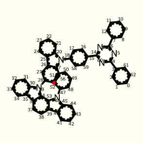 c1ccc(-c2nc(-c3ccccc3)nc(-c3ccc(-n4c5ccccc5c5cc(-n6c7ccccc7c7ccc8c9ccccc9n(-c9ccccc9)c8c76)ccc54)cc3)n2)cc1